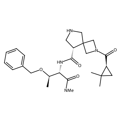 CNC(=O)[C@@H](NC(=O)[C@@H]1CNCC12CN(C(=O)[C@H]1CC1(C)C)C2)[C@@H](C)OCc1ccccc1